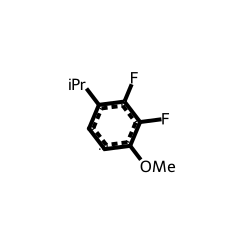 COc1[c]cc(C(C)C)c(F)c1F